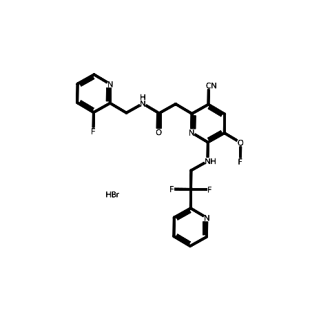 Br.N#Cc1cc(OF)c(NCC(F)(F)c2ccccn2)nc1CC(=O)NCc1ncccc1F